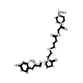 CCCCCCN1CCN(C(=O)COC(=O)CCCSCCN2C(=O)CC[C@@H]2/C=C/[C@@H](O)Cc2ccc(F)cc2)CC1